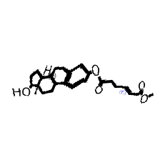 COC(=O)/C=C/CCC(=O)Oc1ccc2c(c1)CC[C@@H]1C2CC[C@]2(C)C(O)CCC12